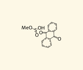 COS(=O)O.O=C1c2ccccc2C(=O)c2ccccc21